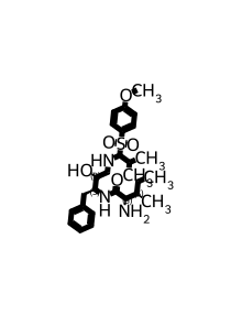 CC[C@H](C)[C@H](N)C(=O)N[C@@H](Cc1ccccc1)[C@H](O)CNC(C(C)C)S(=O)(=O)c1ccc(OC)cc1